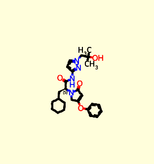 CC(C)(O)Cn1ccc(NC(=O)[C@H](CC2CCCCC2)N2CC(Oc3ccccc3)=CC2=O)n1